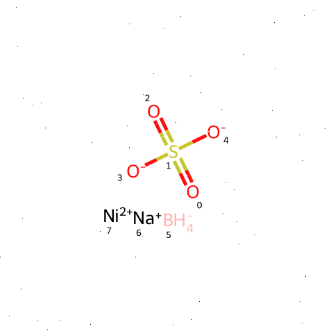 O=S(=O)([O-])[O-].[BH4-].[Na+].[Ni+2]